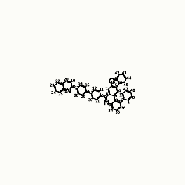 c1ccc(-c2c3c(cc4c(-c5ccc(-c6ccc(-c7ccc8ccccc8n7)cc6)cc5)nc5ccccc5c24)oc2ccccc23)cc1